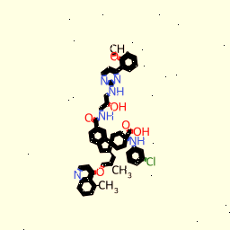 COc1ccccc1-c1ccnc(NCC(O)CNC(=O)c2ccc3c(c2)C2(CCC(Nc4cccc(Cl)c4)(C(=O)O)CC2)[C@@H](C[C@@H](C)COc2ccnc4c2[C@H](C)CCC4)C3)n1